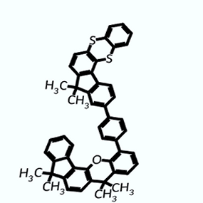 CC1(C)c2cccc(-c3ccc(-c4ccc5c(c4)C(C)(C)c4ccc6c(c4-5)Sc4ccccc4S6)cc3)c2Oc2c1ccc1c2-c2ccccc2C1(C)C